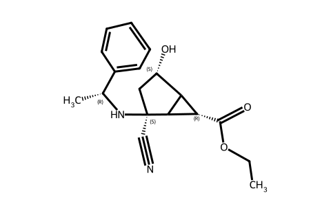 CCOC(=O)[C@H]1C2C1[C@@](C#N)(N[C@H](C)c1ccccc1)C[C@@H]2O